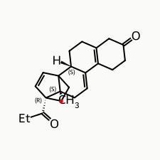 CCC(=O)[C@@]12C=CC3(CC1)[C@@H]1CCC4=C(CCC(=O)C4)C1=CC[C@@]32C